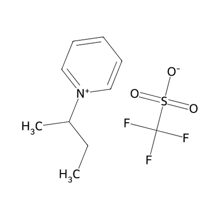 CCC(C)[n+]1ccccc1.O=S(=O)([O-])C(F)(F)F